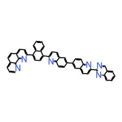 c1ccc2nc(-c3ccc4cc(-c5ccc6nc(-c7ccc(-c8ccc9ccc%10cccnc%10c9n8)c8ccccc78)ccc6c5)ccc4n3)ncc2c1